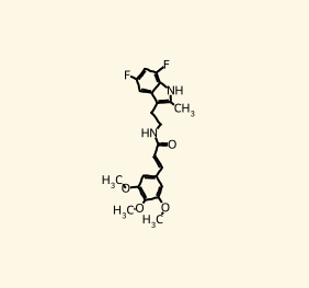 COc1cc(C=CC(=O)NCCc2c(C)[nH]c3c(F)cc(F)cc23)cc(OC)c1OC